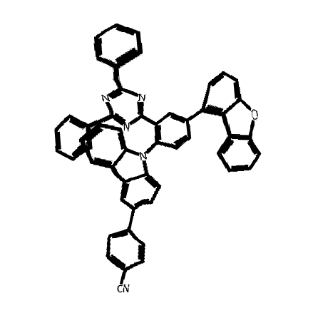 N#Cc1ccc(-c2ccc3c(c2)c2ccccc2n3-c2ccc(-c3cccc4oc5ccccc5c34)cc2-c2nc(-c3ccccc3)nc(-c3ccccc3)n2)cc1